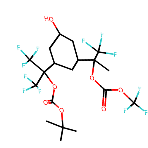 CC(C)(C)OC(=O)OC(C1CC(O)CC(C(C)(OC(=O)OC(F)(F)F)C(F)(F)F)C1)(C(F)(F)F)C(F)(F)F